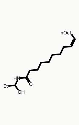 CCCCCCCC/C=C\CCCCCCCC(=O)NC(O)CC